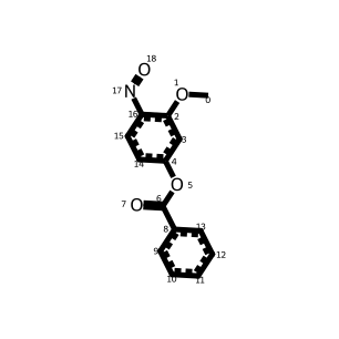 COc1cc(OC(=O)c2ccccc2)ccc1N=O